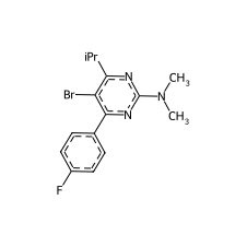 CC(C)c1nc(N(C)C)nc(-c2ccc(F)cc2)c1Br